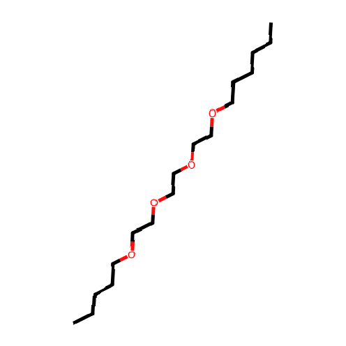 CCCCCCOCCOCCOCCOCCCCC